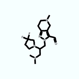 CN(C)CC(Cn1nc2c(c1C=O)CN(C)CC2)N1CCC(F)(F)C1